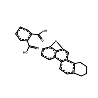 O=C(O)c1ccccc1C(=O)O.c1cc2c3c(cc4c5c(ccc4c3c1)CCCC5)O2